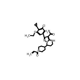 C=CC(=O)N1CCC(C2CCNc3c(C(N)=O)c(-c4cc(Cl)c(C5CC5)c(OCC)c4)nn32)CC1